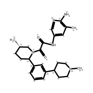 Cc1cc(NC(=O)C(=O)N2C[C@@H](C)CCC2c2cccc(C3CCN(C)CC3)c2)cnc1N